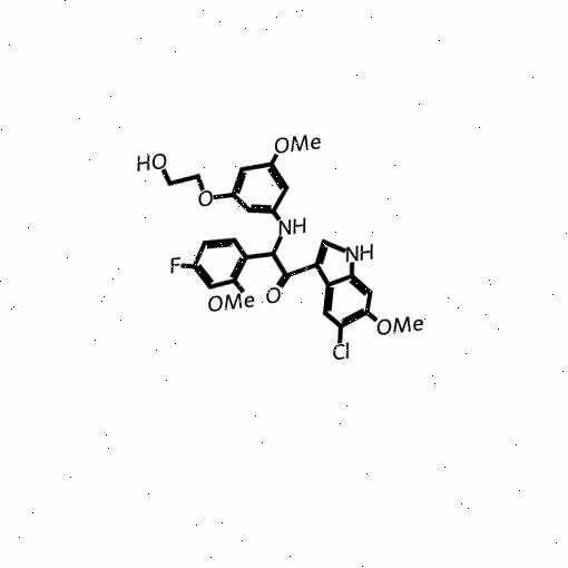 COc1cc(NC(C(=O)c2c[nH]c3cc(OC)c(Cl)cc23)c2ccc(F)cc2OC)cc(OCCO)c1